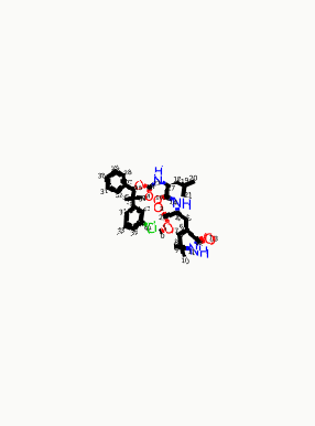 COC(=O)C(CC1CC(C)(C)NC1=O)NC(=O)[C@H](CC(C)C)NC(=O)OC(c1ccccc1)C(C)(C)c1cccc(Cl)c1